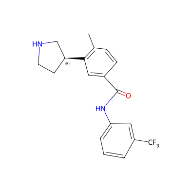 Cc1ccc(C(=O)Nc2cccc(C(F)(F)F)c2)cc1[C@H]1CCNC1